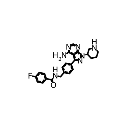 Nc1ncnc2c1c(-c1ccc(CNC(=O)c3ccc(F)cc3)cc1)nn2[C@@H]1CCCNC1